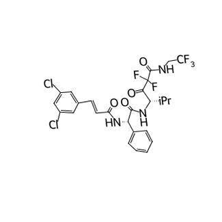 CC(C)[C@H](NC(=O)[C@@H](NC(=O)C=Cc1cc(Cl)cc(Cl)c1)c1ccccc1)C(=O)C(F)(F)C(=O)NCC(F)(F)F